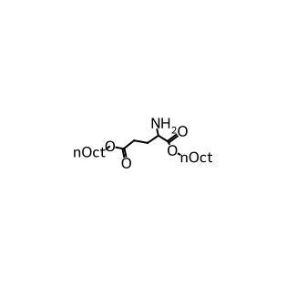 CCCCCCCCOC(=O)CCC(N)C(=O)OCCCCCCCC